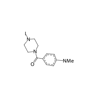 CNc1ccc(C(=O)N2CCN(I)CC2)cc1